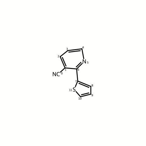 N#Cc1cccnc1-c1cccs1